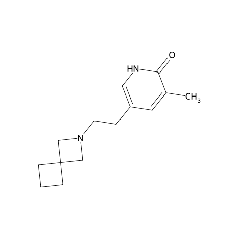 Cc1cc(CCN2CC3(CCC3)C2)c[nH]c1=O